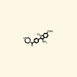 CCn1c(-c2ccc(C(=O)N3CCCNCC3)cc2)c(N)c2ccc(OC)cc21